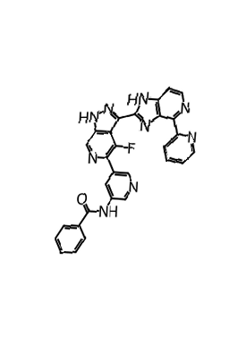 O=C(Nc1cncc(-c2ncc3[nH]nc(-c4nc5c(-c6ccccn6)nccc5[nH]4)c3c2F)c1)c1ccccc1